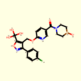 O=C(c1ccc(OCc2c(-c3ccc(F)cc3)noc2C(O)(O)O)nc1)N1CC[S+]([O-])CC1